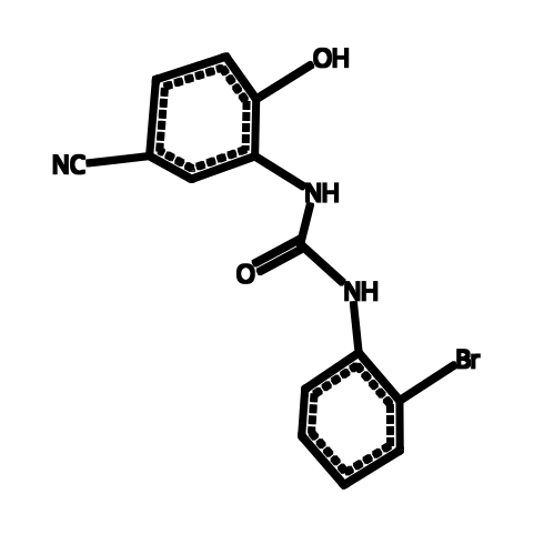 N#Cc1ccc(O)c(NC(=O)Nc2ccccc2Br)c1